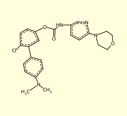 CN(C)c1ccc(-c2cc(OC(=O)Nc3ccc(N4CCOCC4)nc3)ccc2Cl)cc1